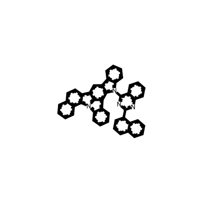 c1ccc2c(-c3nc(-n4c5ccccc5c5cc6c7ccc8ccccc8c7n7c8ccccc8c(c54)c67)c4ccccc4n3)cccc2c1